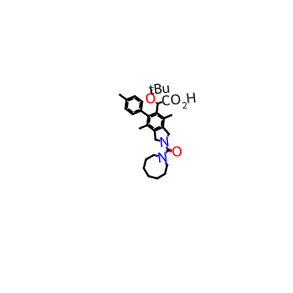 Cc1ccc(-c2c(C)c3c(c(C)c2C(OC(C)(C)C)C(=O)O)CN(C(=O)N2CCCCCCC2)C3)cc1